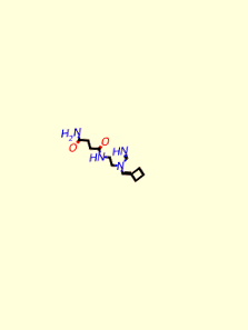 N=CN(C=C1CCC1)CCNC(=O)CCC(N)=O